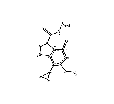 CCCCCOC(=O)C1CSc2c(C3CC3)c(CCl)cc(=O)n21